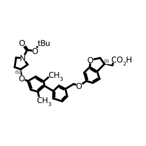 Cc1cc(O[C@H]2CCN(C(=O)OC(C)(C)C)C2)cc(C)c1-c1cccc(COc2ccc3c(c2)OC[C@H]3CC(=O)O)c1